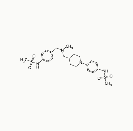 CN(Cc1ccc(NS(C)(=O)=O)cc1)CC1CCN(c2ccc(NS(C)(=O)=O)cc2)CC1